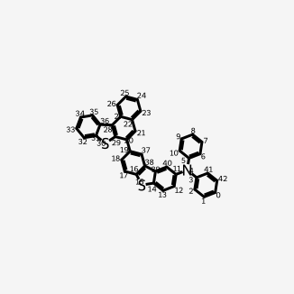 c1ccc(N(c2ccccc2)c2ccc3sc4ccc(-c5cc6ccccc6c6c5sc5ccccc56)cc4c3c2)cc1